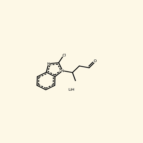 CC(CC=O)n1c(Cl)nc2ccccc21.[LiH]